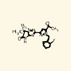 CC(=O)c1cc(-c2nnc3c(n2)NC(=O)C3(C)C)nn1Cc1ccccc1F